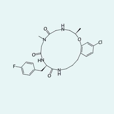 C[C@@H]1CNCC(=O)N(C)CC(=O)N[C@H](Cc2ccc(F)cc2)C(=O)NCCCc2ccc(Cl)cc2O1